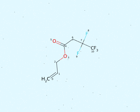 C=CCOC(=O)[CH]C(F)(F)C(F)(F)F